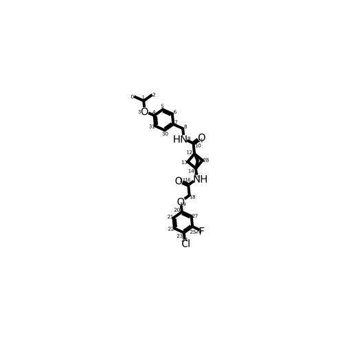 CC(C)Oc1ccc(CNC(=O)C23CC(NC(=O)COc4ccc(Cl)c(F)c4)(C2)C3)cc1